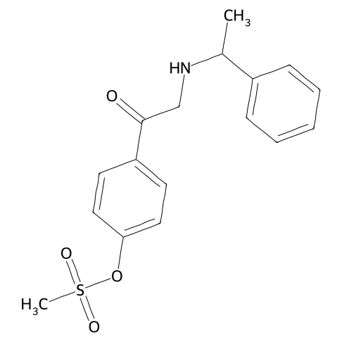 CC(NCC(=O)c1ccc(OS(C)(=O)=O)cc1)c1ccccc1